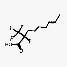 CCCCCCCC(F)(C(=O)O)C(F)(F)F